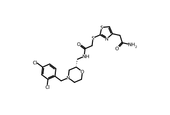 NC(=O)Cc1csc(SCC(=O)NC[C@H]2CN(Cc3ccc(Cl)cc3Cl)CCO2)n1